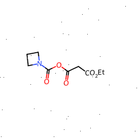 CCOC(=O)CC(=O)OC(=O)N1CCC1